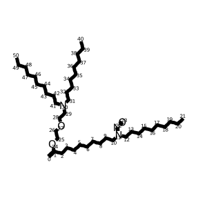 C=C(CCCCCCCCCN(CCCCCCCCCC)N=O)OCCOCCN(CCCCCCCCCC)CCCCCCCCCC